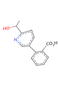 CC(O)c1ccc(-c2ccccc2C(=O)O)cn1